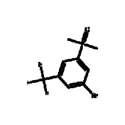 CP(C)(=O)c1cc(Br)cc(C(F)(F)F)c1